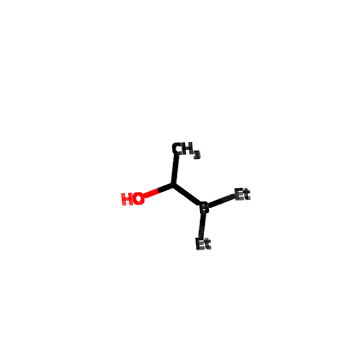 CCB(CC)C(C)O